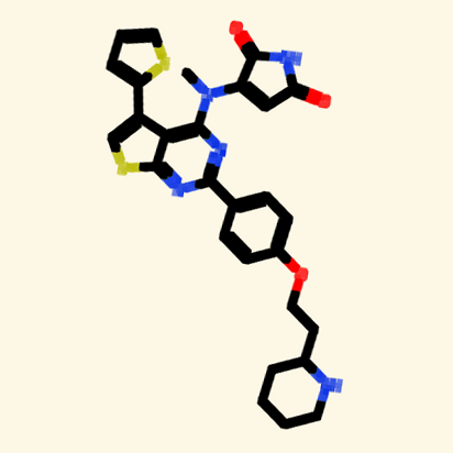 CN(C1=CC(=O)NC1=O)c1nc(-c2ccc(OCCC3CCCCN3)cc2)nc2scc(-c3cccs3)c12